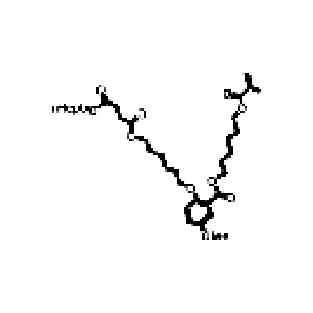 C=C(C)C(=O)OCCCCCCOC(=O)c1cc(OC)ccc1OCCCCCCOC(=O)CCC(=O)OCCCCCCC